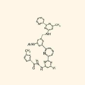 CCc1cc(NNC(=O)c2ccc(C)s2)nc(-c2cccc(-c3cc(CNc4cc(C)nc(-c5ccccn5)n4)cc(NC(C)=O)c3)n2)n1